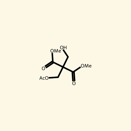 COC(=O)C(CO)(COC(C)=O)C(=O)OC